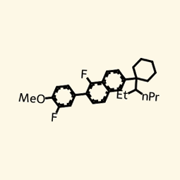 CCCC(CC)C1(c2ccc3c(F)c(-c4ccc(OC)c(F)c4)ccc3c2)CCCCC1